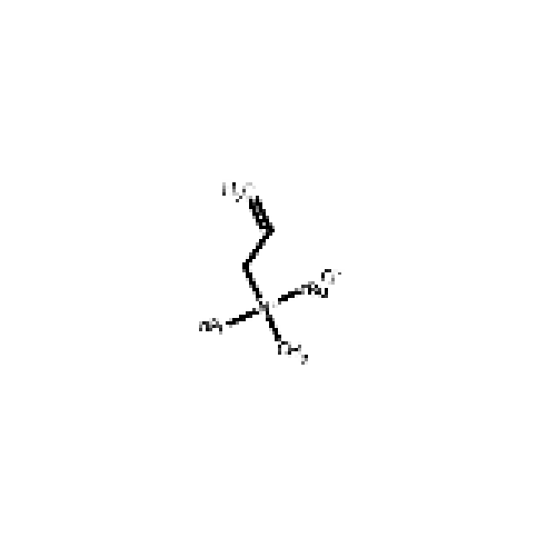 C=CC[N+](C)(CCC)C(C)(C)C.[Cl-]